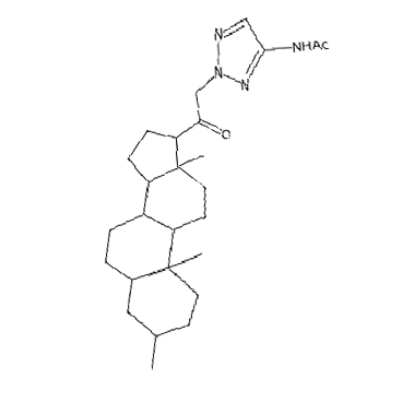 CC(=O)Nc1cnn(CC(=O)C2CCC3C4CCC5CC(C)CCC5(C)C4CCC23C)n1